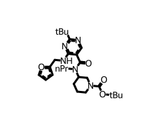 CCCN(C(=O)c1cnc(C(C)(C)C)nc1NCc1ccco1)C1CCCN(C(=O)OC(C)(C)C)C1